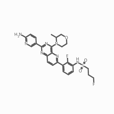 CC1COCCN1c1nc(-c2ccc(N)nc2)nc2ccc(-c3cccc(NS(=O)(=O)CCCF)c3F)nc12